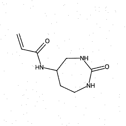 C=CC(=O)NC1CCNC(=O)NC1